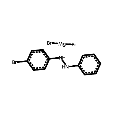 Brc1ccc(NNc2ccccc2)cc1.[Br][Mg][Br]